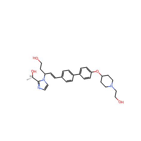 C[C@H](O)c1nccn1C(C=Cc1ccc(-c2ccc(OC3CCN(CCO)CC3)cc2)cc1)CCO